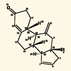 C=C1C[C@]2(CC)CC=C[C@H]2[C@@H]2CCC3=CC(=O)CC[C@@H]3[C@@H]12